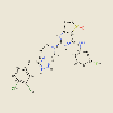 [O-][S+]1CCc2nc(N3CCn4c(Cc5ccc(Cl)c(Cl)c5)nnc4C3)nc(Nc3cccc(F)c3)c21